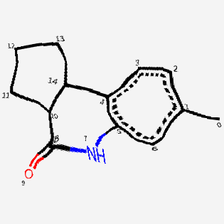 Cc1ccc2c(c1)NC(=O)C1CCCC21